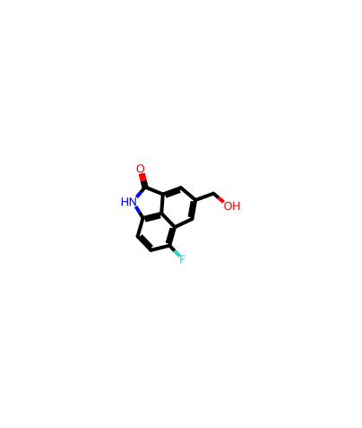 O=C1Nc2ccc(F)c3cc(CO)cc1c23